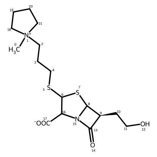 C[N+]1(CCCSC2SC3[C@@H](CCO)C(=O)N3C2C(=O)[O-])CCCC1